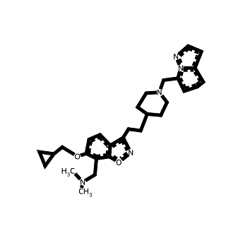 CN(C)Cc1c(OCC2CC2)ccc2c(CCC3CCN(Cc4cccc5ccnn45)CC3)noc12